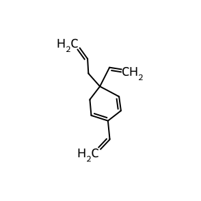 C=CCC1(C=C)C=CC(C=C)=CC1